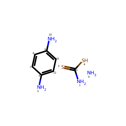 N.NC(=S)S.Nc1ccc(N)cc1